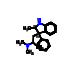 CC(C[C@]1(c2ccccc2)c2ccccc2N[C@@H]1C)N(C)C